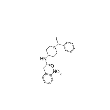 O=C(Cc1ccccc1[N+](=O)[O-])NC1CCN(C(I)c2ccccc2)CC1